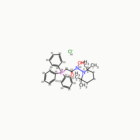 CC1(C)CCCC(C)(C)N1N(O)C(=O)C[P+](c1ccccc1)(c1ccccc1)c1ccccc1.[Cl-]